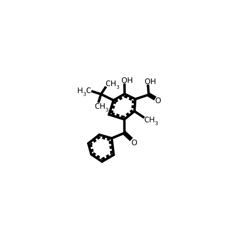 Cc1c(C(=O)c2ccccc2)cc(C(C)(C)C)c(O)c1C(=O)O